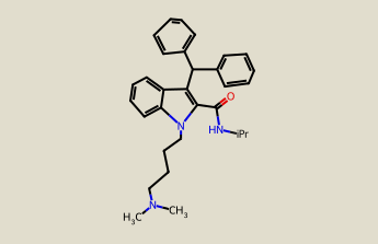 CC(C)NC(=O)c1c(C(c2ccccc2)c2ccccc2)c2ccccc2n1CCCCN(C)C